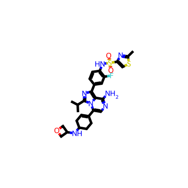 Cc1nc(S(=O)(=O)Nc2ccc(-c3nc(C(C)C)n4c(C5=CCC(NC6COC6)CC5)cnc(N)c34)cc2F)cs1